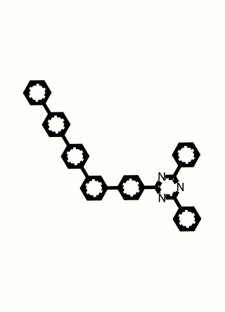 c1ccc(-c2ccc(-c3ccc(-c4cccc(-c5ccc(-c6nc(-c7ccccc7)nc(-c7ccccc7)n6)cc5)c4)cc3)cc2)cc1